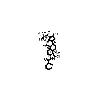 C[C@@H]([C@H]1[C@H](O)C[C@@]2(C)[C@@H]3CC[C@@H]4C5(CC[C@H](NC(=O)C6CCCCC6)[C@@]4(C)CO)C[C@@]35C(=O)C[C@]12C)N(C)C